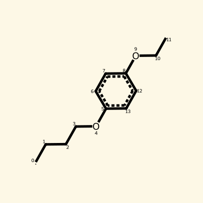 [CH2]CCCOc1ccc(OCC)cc1